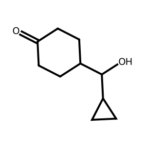 O=C1CCC(C(O)C2CC2)CC1